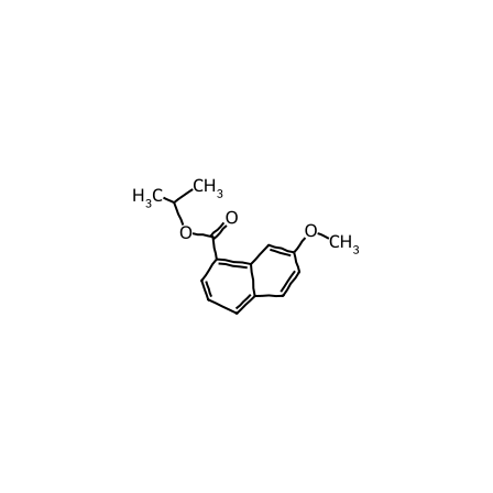 COc1ccc2cccc(C(=O)OC(C)C)c2c1